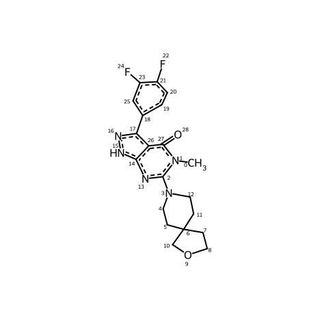 Cn1c(N2CCC3(CCOC3)CC2)nc2[nH]nc(-c3ccc(F)c(F)c3)c2c1=O